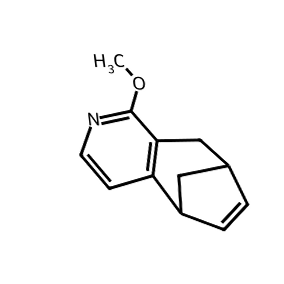 COc1nccc2c1CC1C=CC2C1